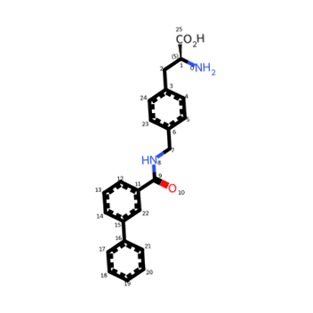 N[C@@H](Cc1ccc(CNC(=O)c2cccc(-c3ccccc3)c2)cc1)C(=O)O